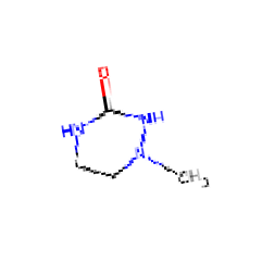 CN1CCNC(=O)N1